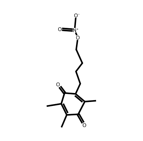 CC1=C(C)C(=O)C(CCCCO[N+](=O)[O-])=C(C)C1=O